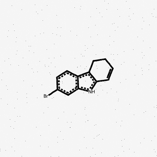 Brc1ccc2c3c([nH]c2c1)C=CCC3